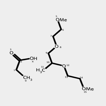 CCC(=O)O.COCCOCC(C)OCCOC